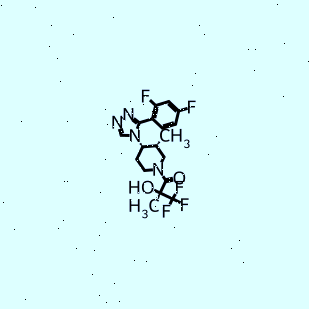 C[C@@H]1CN(C(=O)[C@@](C)(O)C(F)(F)F)CC[C@@H]1n1cnnc1-c1ccc(F)cc1F